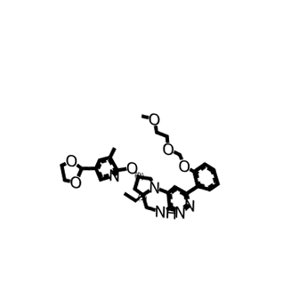 CC[C@]12CNc3nnc(-c4ccccc4OCOCCOC)cc3N1C[C@H](Oc1ncc(C3OCCO3)cc1C)C2